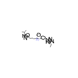 CCc1nnn(-c2ccc(OC)c(/C=C/CCCc3nnc(C(C)C)o3)c2)n1